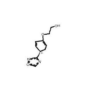 OCCOC1=CC[C@@H](c2ncon2)C=C1